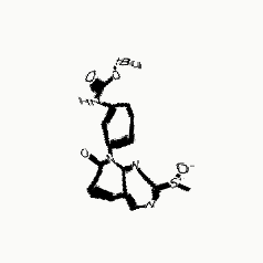 C[S+]([O-])c1ncc2ccc(=O)n(-c3cccc(NC(=O)OC(C)(C)C)c3)c2n1